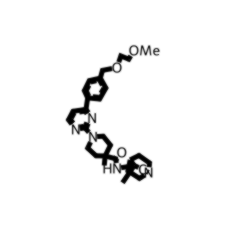 COCCOCc1ccc(-c2ccnc(N3CCC(C)(C(=O)NC4(C)CN5CCC4CC5)CC3)n2)cc1